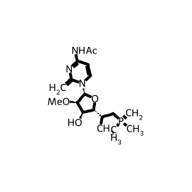 C=C1N=C(NC(C)=O)C=CN1[C@@H]1O[C@H](C(C)CP(=C)(C)C)[C@@H](O)[C@H]1OC